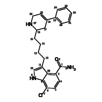 NC(=O)c1ccc(Cl)c2[nH]cc(CCCCC3CC(c4ccccc4)=CCN3)c12